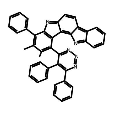 Cc1c(C)c(-c2nnnc(-c3ccccc3)c2-c2ccccc2)c2c(c1-c1ccccc1)N=c1ccc3c(c1-2)N=c1ccccc1=3